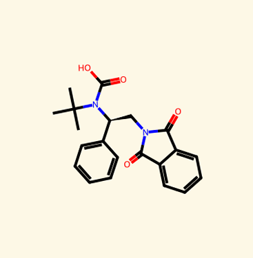 CC(C)(C)N(C(=O)O)[C@@H](CN1C(=O)c2ccccc2C1=O)c1ccccc1